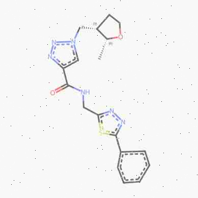 C[C@H]1OCC[C@H]1Cn1cc(C(=O)NCc2nnc(-c3ccccc3)s2)nn1